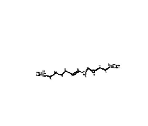 CCCCCCCCCCOCOC=CCCCCC=O